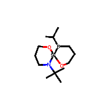 CC(C)B1CCCO[Si]12OCCCN2C(C)(C)C